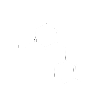 CN1CCSC(Cc2cccc(F)c2)C1